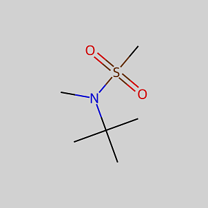 CN(C(C)(C)C)S(C)(=O)=O